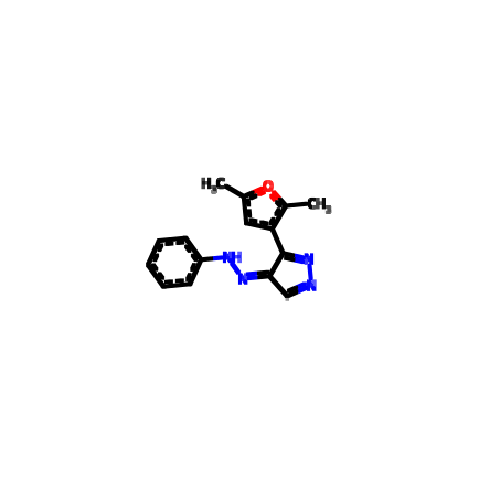 Cc1cc(C2=NN=[C]C2=NNc2ccccc2)c(C)o1